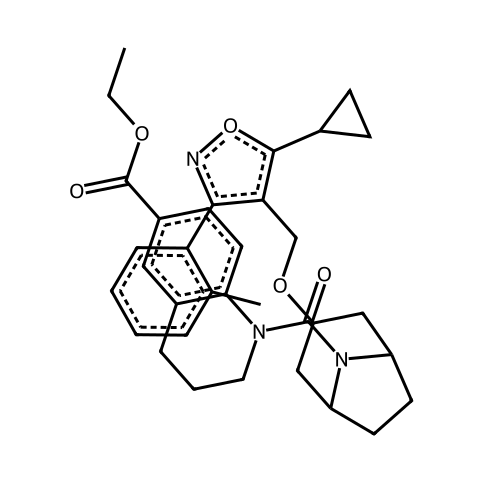 CCOC(=O)c1ccc2c(c1)CCCN2C(=O)N1C2CCC1CC(OCc1c(-c3ccccc3C)noc1C1CC1)C2